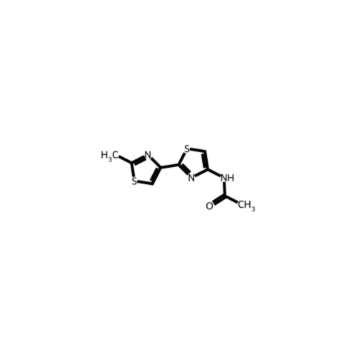 CC(=O)Nc1csc(-c2csc(C)n2)n1